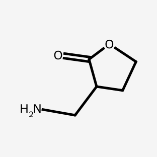 NCC1CCOC1=O